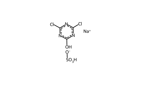 O=S(=O)([O-])O.Oc1nc(Cl)nc(Cl)n1.[Na+]